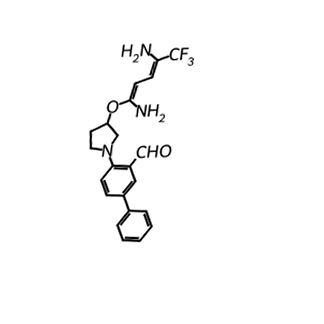 N/C(=C\C=C(/N)OC1CCN(c2ccc(-c3ccccc3)cc2C=O)C1)C(F)(F)F